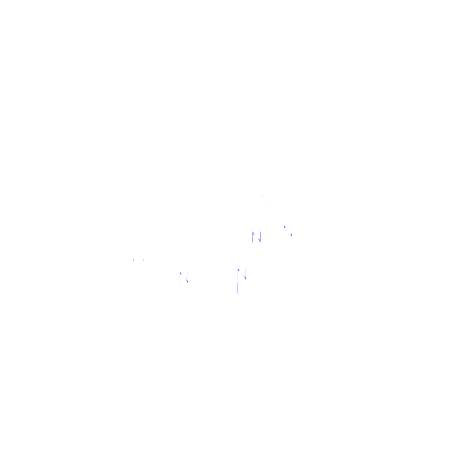 CCSc1nc(NCCN2CCOCC2)c2ccccc2n1